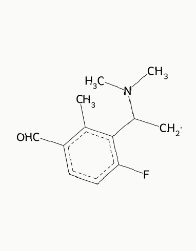 [CH2]C(c1c(F)ccc(C=O)c1C)N(C)C